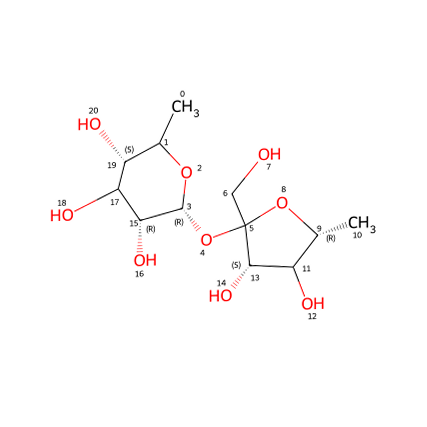 CC1O[C@H](OC2(CO)O[C@H](C)C(O)[C@@H]2O)[C@H](O)C(O)[C@@H]1O